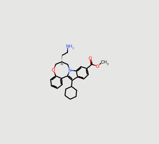 COC(=O)c1ccc2c(C3CCCCC3)c3n(c2c1)C[C@@H](CCN)COc1ccccc1-3